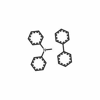 CN(c1ccccc1)c1ccccc1.c1ccc(-c2ccccc2)cc1